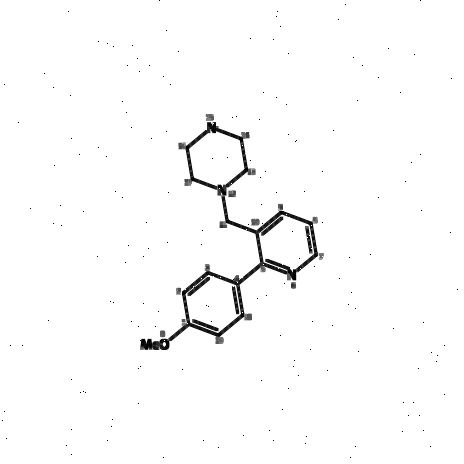 COc1ccc(-c2ncccc2CN2CC[N]CC2)cc1